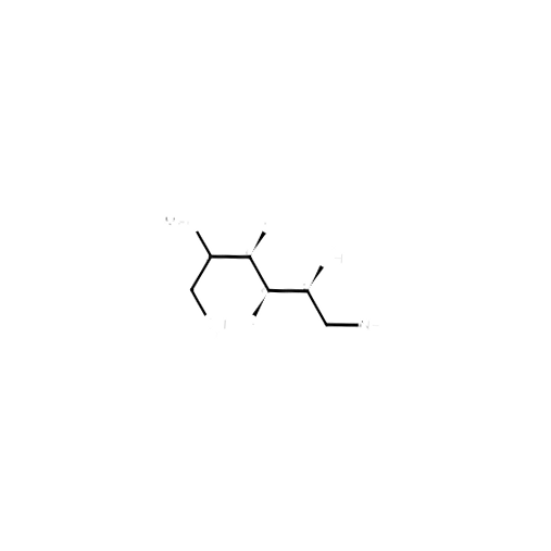 COC(CO)[C@@H](O)[C@H](O)[C@@H](O)CN